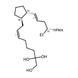 CCCCCC[C@H](CC)C/C=C/[C@H]1CCC[C@@H]1C/C=C\CCCC(O)(O)CO